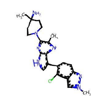 Cc1nc2c(-c3ccc4nn(C)cc4c3Cl)c[nH]c2nc1N1CCC(C)(N)CC1